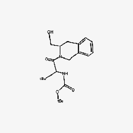 CC(C)(C)OC(=O)NC(C(=O)N1Cc2ccccc2CC1CO)C(C)(C)C